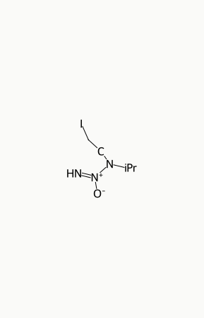 CC(C)N(CCI)[N+](=N)[O-]